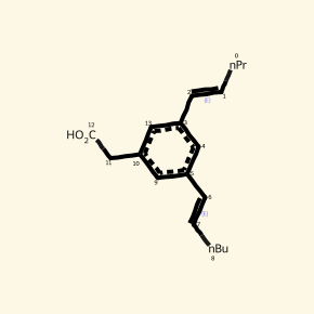 CCC/C=C/c1cc(/C=C/CCCC)cc(CC(=O)O)c1